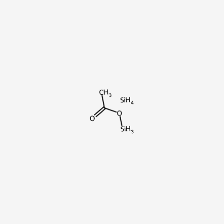 CC(=O)O[SiH3].[SiH4]